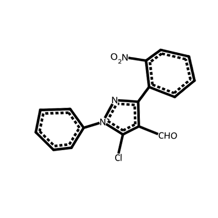 O=Cc1c(-c2ccccc2[N+](=O)[O-])nn(-c2ccccc2)c1Cl